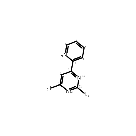 Ic1cc(-c2ccccn2)nc(I)n1